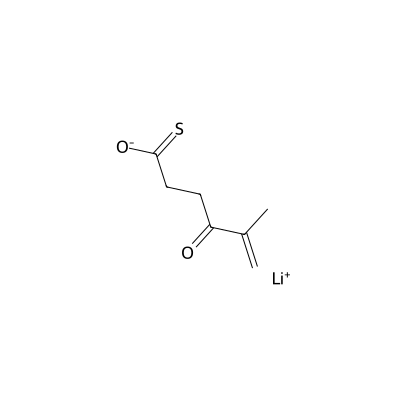 C=C(C)C(=O)CCC([O-])=S.[Li+]